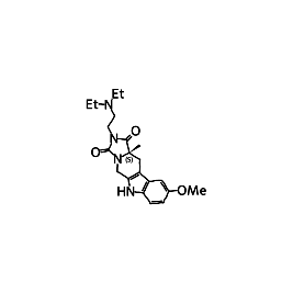 CCN(CC)CCN1C(=O)N2Cc3[nH]c4ccc(OC)cc4c3C[C@@]2(C)C1=O